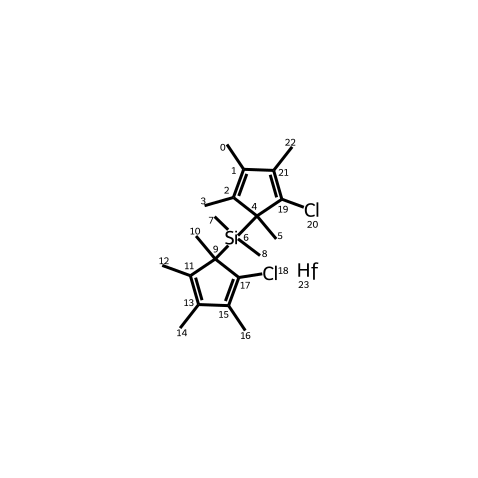 CC1=C(C)C(C)([Si](C)(C)C2(C)C(C)=C(C)C(C)=C2Cl)C(Cl)=C1C.[Hf]